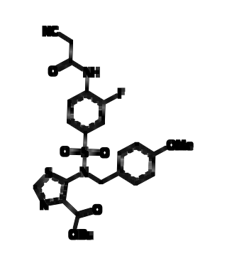 COc1ccc(CN(c2scnc2C(=O)OCC(C)C)S(=O)(=O)c2ccc(NC(=O)CC#N)c(F)c2)cc1